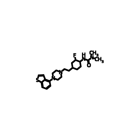 CN(C)C(=O)NC1CCC(CCN2CCN(c3cccc4sccc34)CC2)CC1F